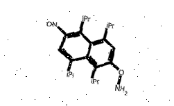 CC(C)c1cc(ON)c(C(C)C)c2c(C(C)C)cc(N=O)c(C(C)C)c12